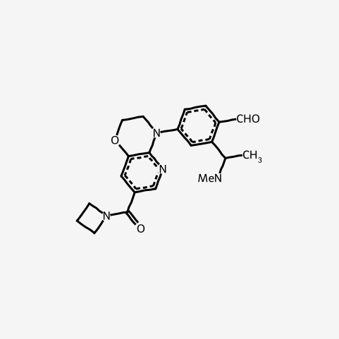 CNC(C)c1cc(N2CCOc3cc(C(=O)N4CCC4)cnc32)ccc1C=O